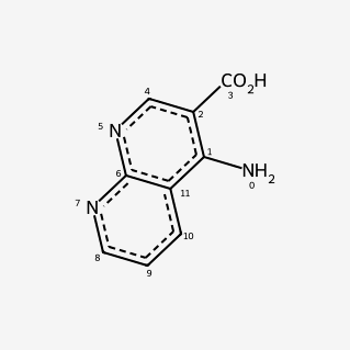 Nc1c(C(=O)O)cnc2ncccc12